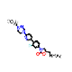 CC(=O)NCC1CN(c2ccc(-c3ccc(N4C=NN(CC(=O)O)CC4)nc3)c(F)c2)C(=O)O1